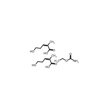 CC(=CCCO)C(=O)O.CC(=CCCO)C(=O)O.CCOC(N)=O